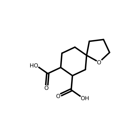 O=C(O)C1CCC2(CCCO2)CC1C(=O)O